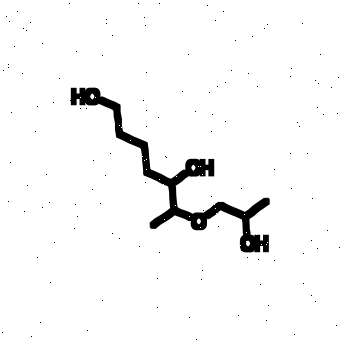 CC(O)COC(C)C(O)CCCCO